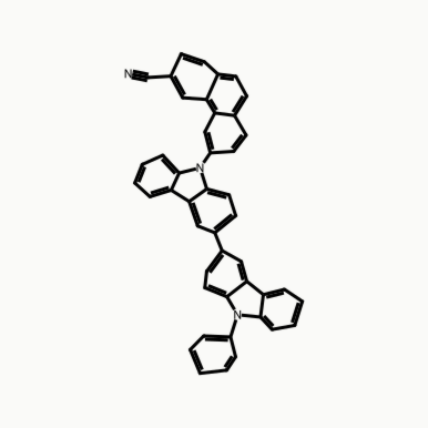 N#Cc1ccc2ccc3ccc(-n4c5ccccc5c5cc(-c6ccc7c(c6)c6ccccc6n7-c6ccccc6)ccc54)cc3c2c1